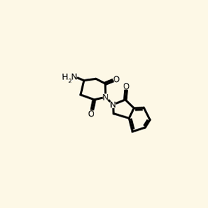 NC1CC(=O)N(N2Cc3ccccc3C2=O)C(=O)C1